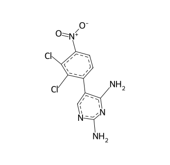 Nc1ncc(-c2ccc([N+](=O)[O-])c(Cl)c2Cl)c(N)n1